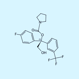 O=C(O[C@@](CO)(c1ccc(F)cc1)c1cccc(C(F)(F)F)c1)N1CCCC1